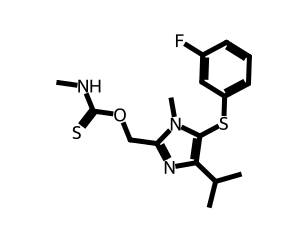 CNC(=S)OCc1nc(C(C)C)c(Sc2cccc(F)c2)n1C